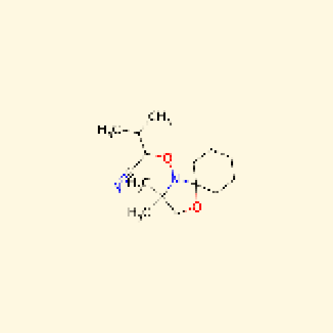 CC(C)C(C#N)ON1C(C)(C)COC12CCCCC2